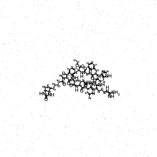 CCOC(=O)C(C)NC(=O)CNC(=O)C(Cc1ccccc1)NC(=O)[C@H](Cc1cnc[nH]1)NC(=O)C(CCCNC(=N)N)NC(=O)[C@H](CC(C)C)NC(=O)C(CCC(N)=O)NC(=O)[C@H](C)NC(=O)[C@@H]1C(c2ccccc2O)OCN1C(=O)CCCCC1SCC2NC(=O)NC21